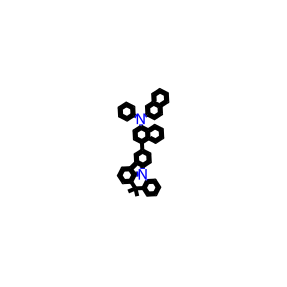 CC1(C)c2ccccc2-n2c3ccc(-c4ccc(N(c5ccccc5)c5ccc6ccccc6c5)c5ccccc45)cc3c3cccc1c32